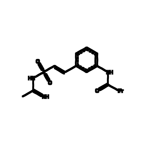 CC(=N)NS(=O)(=O)C=Cc1cccc(NC(=O)C(C)C)c1